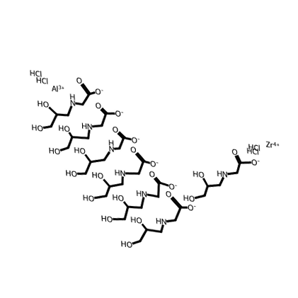 Cl.Cl.Cl.Cl.O=C([O-])CNCC(O)CO.O=C([O-])CNCC(O)CO.O=C([O-])CNCC(O)CO.O=C([O-])CNCC(O)CO.O=C([O-])CNCC(O)CO.O=C([O-])CNCC(O)CO.O=C([O-])CNCC(O)CO.[Al+3].[Zr+4]